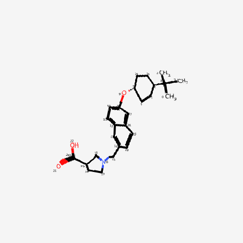 CC(C)(C)[C@H]1CC[C@H](Oc2ccc3cc(CN4CCC(C(=O)O)C4)ccc3c2)CC1